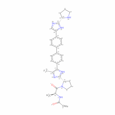 COC(=O)N[C@@H](C)C(=O)N1CCC[C@H]1c1nc(C(F)(F)F)c(-c2ccc(-c3ccc(-c4cnc([C@@H]5CCCN5)[nH]4)cc3)cc2)[nH]1